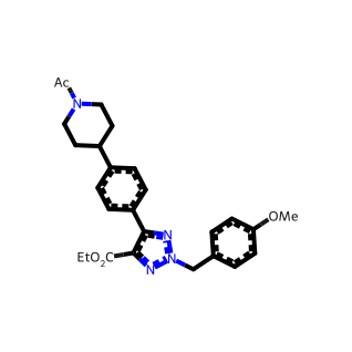 CCOC(=O)c1nn(Cc2ccc(OC)cc2)nc1-c1ccc(C2CCN(C(C)=O)CC2)cc1